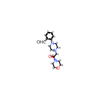 O=Cc1ccccc1N1CCN(CC(=O)N2CCOCC2)CC1